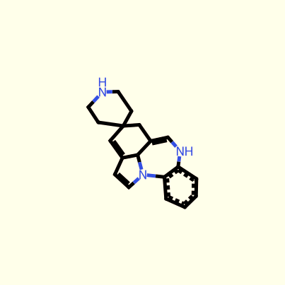 C1=CN2c3ccccc3NC=C3CC4(C=C1C32)CCNCC4